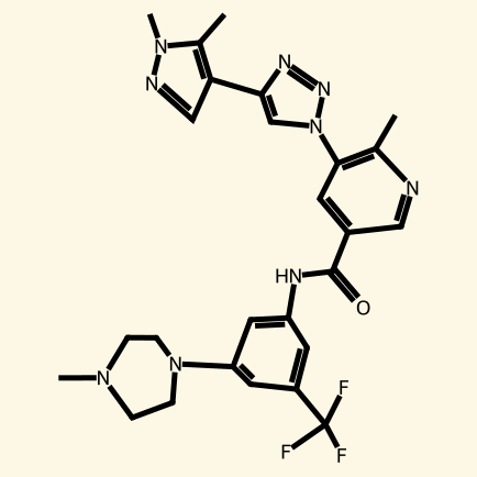 Cc1ncc(C(=O)Nc2cc(N3CCN(C)CC3)cc(C(F)(F)F)c2)cc1-n1cc(-c2cnn(C)c2C)nn1